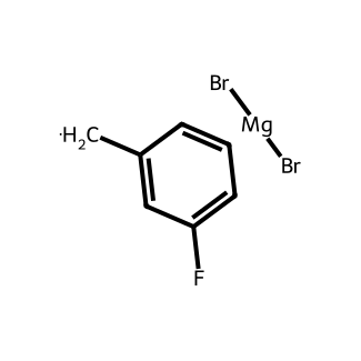 [Br][Mg][Br].[CH2]c1cccc(F)c1